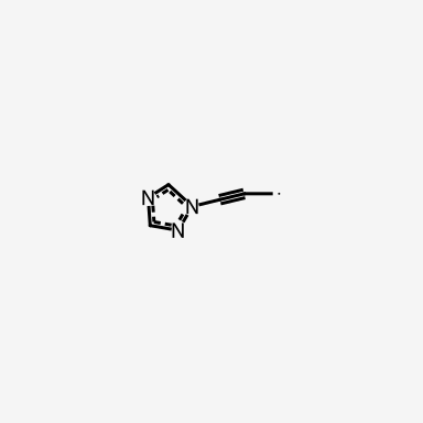 [CH2]C#Cn1cncn1